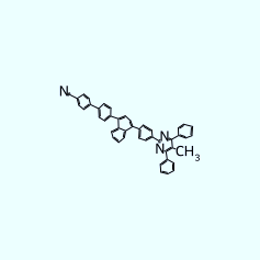 Cc1c(-c2ccccc2)nc(-c2ccc(-c3ccc(-c4ccc(-c5ccc(C#N)cc5)cc4)c4ccccc34)cc2)nc1-c1ccccc1